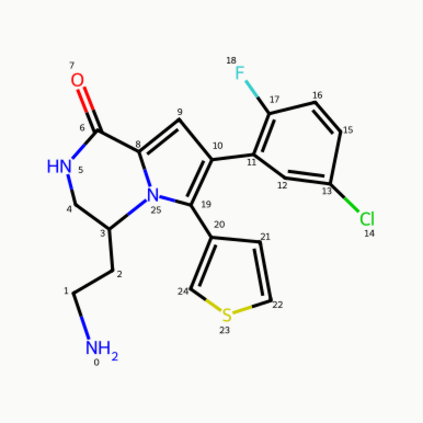 NCCC1CNC(=O)c2cc(-c3cc(Cl)ccc3F)c(-c3ccsc3)n21